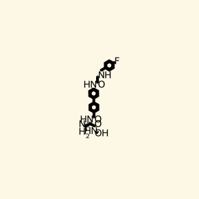 C[C@@H](N)[C@H](NC(=O)c1ccc(-c2ccc(NC(=O)CNCc3ccc(F)cc3)cc2)cc1)C(=O)NO